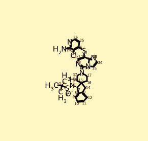 CC(C)(C)[S@@+]([O-])N[C@@H]1c2ccccc2CC12CCN(c1ncc(Sc3ccnc(N)c3Cl)c3nccn13)CC2